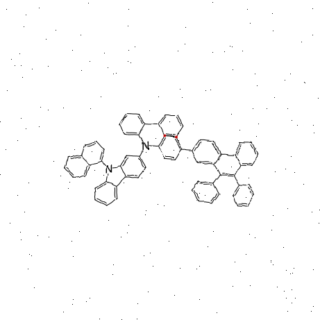 c1ccc(-c2ccccc2N(c2ccc(-c3ccc4c(c3)c(-c3ccccc3)c(-c3ccccc3)c3ccccc34)cc2)c2ccc3c4ccccc4n(-c4cccc5ccccc45)c3c2)cc1